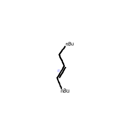 [CH2]CCC/C=C/CCCCC